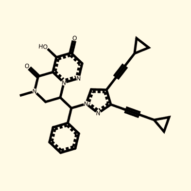 CN1CC(C(c2ccccc2)n2cc(C#CC3CC3)c(C#CC3CC3)n2)n2ncc(=O)c(O)c2C1=O